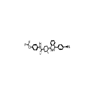 C[C@H]1CN(C(=O)Nc2ccc(OC(F)F)cc2)CCN1c1nnc(-c2ccc(C#N)cc2)c2ccccc12